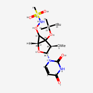 CO[C@H]1[C@H](n2ccc(=O)[nH]c2=O)O[C@@H]2C(ONS(C)(=O)=O)C21O[Si](C)(C)C(C)(C)C